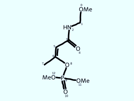 COCNC(=O)C=C(C)OP(=O)(OC)OC